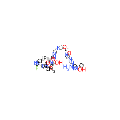 CC(C)[C@@H](C(=O)N1C[C@H](O)C[C@H]1C(=O)N[C@@H](C)c1ccc(-c2c(F)cnn2C)cc1)c1cc(N2CCC(CN3CCC(OC4CC(Oc5cc(N6CCN(c7cc(-c8ccccc8O)nnc7N)CC6)ccn5)C4)CC3)CC2)no1